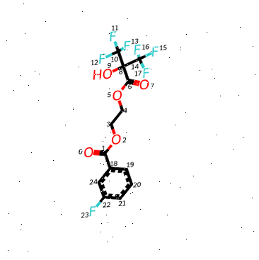 O=C(OCCOC(=O)C(O)(C(F)(F)F)C(F)(F)F)c1cccc(F)c1